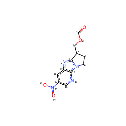 O=COCC1CCn2c1nc1cc([N+](=O)[O-])cnc12